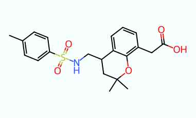 Cc1ccc(S(=O)(=O)NCC2CC(C)(C)Oc3c(CC(=O)O)cccc32)cc1